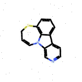 C1=Cn2c3cnccc3c3cccc(c32)SC1